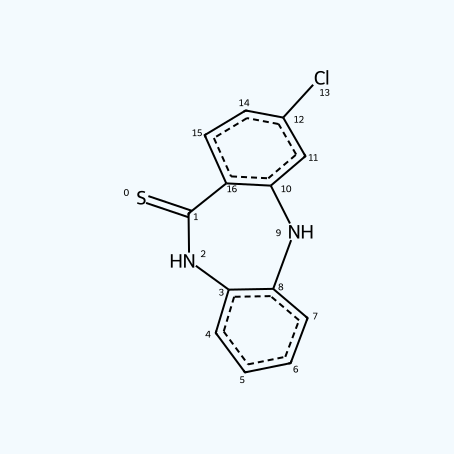 S=C1Nc2ccccc2Nc2cc(Cl)ccc21